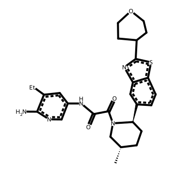 CCc1cc(NC(=O)C(=O)N2C[C@@H](C)CC[C@@H]2c2ccc3sc(C4CCOCC4)nc3c2)cnc1N